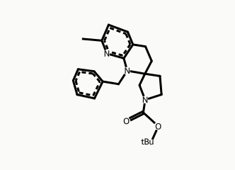 Cc1ccc2c(n1)N(Cc1ccccc1)C1(CC2)CCN(C(=O)OC(C)(C)C)C1